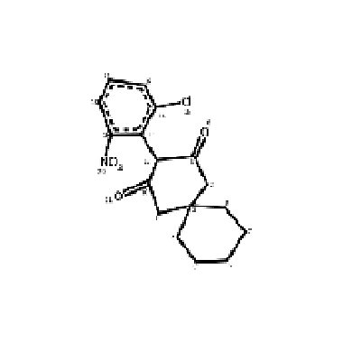 O=C1CC2(CCCCC2)CC(=O)C1c1c(Cl)cccc1[N+](=O)[O-]